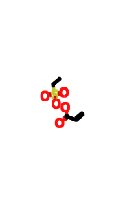 C=CC(=O)OOS(=O)(=O)CC